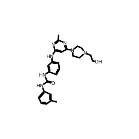 Cc1cccc(NC(=O)Nc2cccc(Nc3cc(N4CCN(CCO)CC4)nc(C)n3)c2)c1